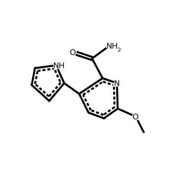 COc1ccc(-c2ccc[nH]2)c(C(N)=O)n1